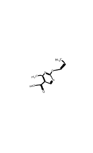 C/C=C\Oc1ncc(C(=O)O)c(C)n1